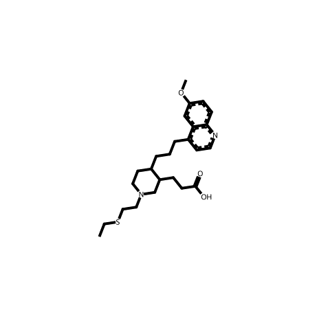 CCSCCN1CCC(CCCc2ccnc3ccc(OC)cc23)C(CCC(=O)O)C1